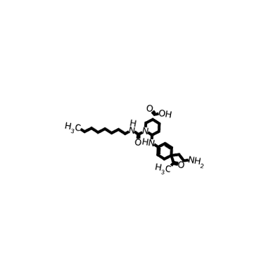 CCCCCCCCNC(=O)N1CCCCC1NC1=CCC(CCN)(C(C)=O)C=C1.O=CO